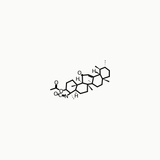 CC(=O)OC1CC[C@@]2(C)[C@@H](CC[C@]3(C)[C@@H]2C(=O)C=C2[C@@H]4[C@@H](C)[C@H](C)CC[C@]4(C)CC[C@]23C)[C@@]1(C)N=C=O